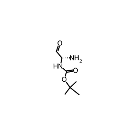 CC(C)(C)OC(=O)N[C@@H](N)C=O